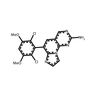 COc1cc(OC)c(Cl)c(-c2cc3cnc(N)nc3n3ccnc23)c1Cl